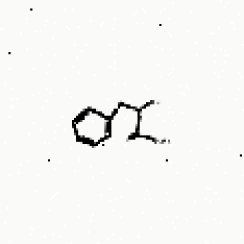 CNC(=O)C(Cc1ccccc1)C(C)(C)C